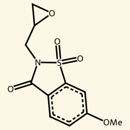 COc1ccc2c(c1)S(=O)(=O)N(CC1CO1)C2=O